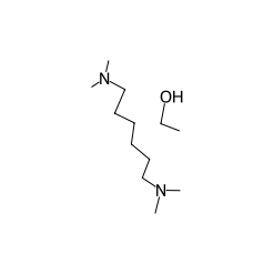 CCO.CN(C)CCCCCCN(C)C